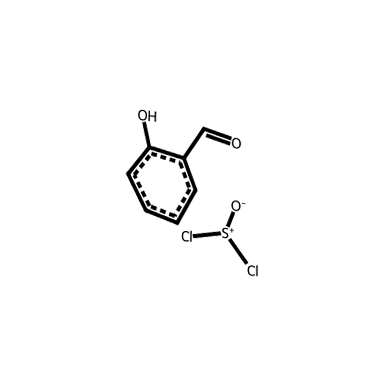 O=Cc1ccccc1O.[O-][S+](Cl)Cl